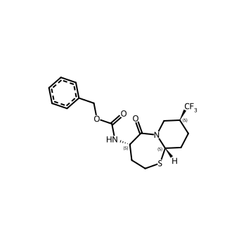 O=C(N[C@H]1CCS[C@H]2CC[C@H](C(F)(F)F)CN2C1=O)OCc1ccccc1